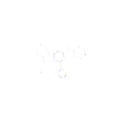 Cc1csc(-c2nc(NC3CCC(F)(F)CC3)cc(N3CCOCC3COC(C)C)n2)n1